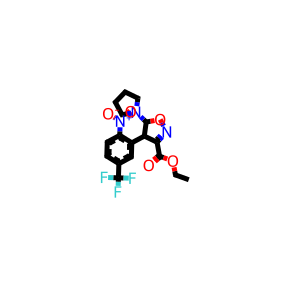 CCOC(=O)C1=NOC(N2CCCC2)C1c1cc(C(F)(F)F)ccc1[N+](=O)[O-]